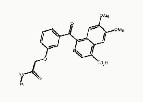 COc1cc2c(C(=O)O)cnc(C(=O)c3cccc(OCC(=O)NC(C)C)c3)c2cc1OC